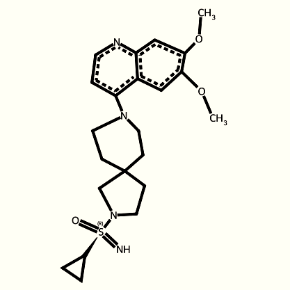 COc1cc2nccc(N3CCC4(CC3)CCN([S@](=N)(=O)C3CC3)C4)c2cc1OC